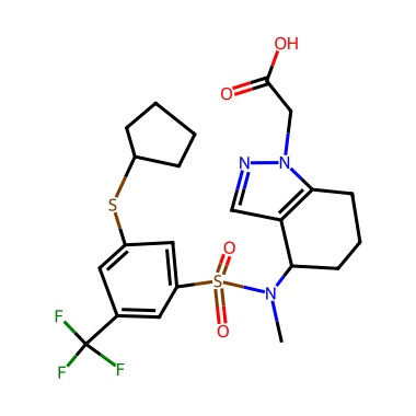 CN(C1CCCc2c1cnn2CC(=O)O)S(=O)(=O)c1cc(SC2CCCC2)cc(C(F)(F)F)c1